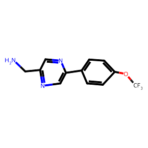 NCc1cnc(-c2ccc(OC(F)(F)F)cc2)cn1